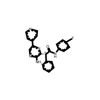 Nc1ncc(-c2ccncc2)nc1[C@H](C(=O)Nc1ccc(F)cc1)c1ccccc1